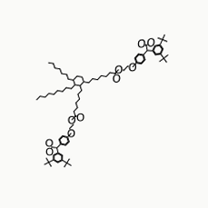 CCCCCCCCCC1C(CCCCCCC)CCC(CCCCCCC(=O)OCCOc2ccc(C3C(=O)Oc4c3cc(C(C)(C)C)cc4C(C)(C)C)cc2)C1CCCCCCC(=O)OCCOc1ccc(C2C(=O)Oc3c2cc(C(C)(C)C)cc3C(C)(C)C)cc1